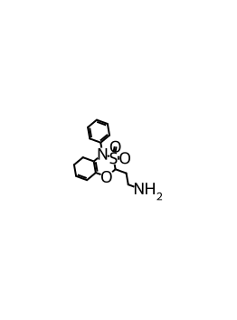 NCCC1OC2=C(CCC=C2)N(c2ccccc2)S1(=O)=O